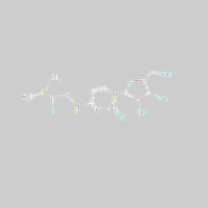 CN(C)C(=O)ONc1ccn([C@@H]2O[C@H](CO)C(O)C2O)c(=O)n1